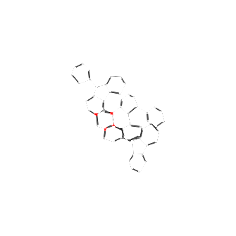 c1ccc(-c2ccccc2-c2c(-c3ccccc3)cccc2N(c2cccc(-n3c4ccccc4c4ccccc43)c2)c2cccc3c2c2ccccc2n3-c2ccccc2)cc1